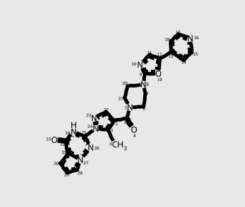 Cc1c(C(=O)N2CCN(c3ncc(-c4ccncc4)o3)CC2)cnn1-c1nn2cccc2c(=O)[nH]1